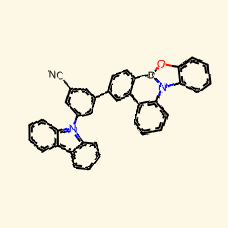 N#Cc1cc(-c2ccc3c(c2)-c2ccccc2N2B3Oc3ccccc32)cc(-n2c3ccccc3c3ccccc32)c1